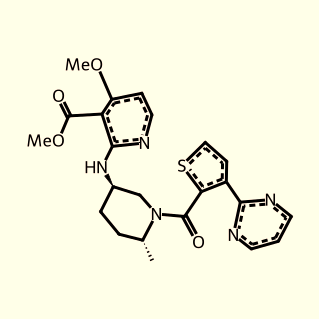 COC(=O)c1c(OC)ccnc1N[C@@H]1CC[C@@H](C)N(C(=O)c2sccc2-c2ncccn2)C1